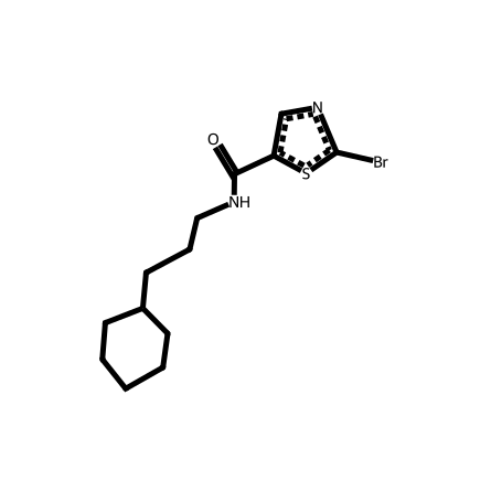 O=C(NCCCC1CCCCC1)c1cnc(Br)s1